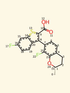 C[C@H]1CCc2ccc(-c3c(C(=O)O)sc4cc(F)ccc34)c(F)c2O1